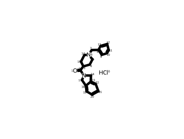 Cl.O=C(C1CCN(Cc2ccccc2)CC1)N1Cc2ccccc2C1